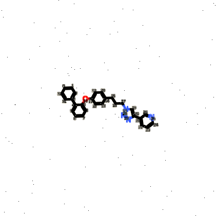 c1ccc(-c2ccccc2Oc2ccc(CCCn3cc(-c4cccnc4)nn3)cc2)cc1